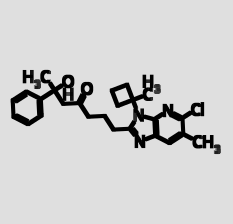 Cc1cc2nc(CCCC(=O)CC(C)(O)c3ccccc3)n(C3(C)CCC3)c2nc1Cl